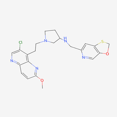 COc1ccc2ncc(Cl)c(CCN3CCC(NCc4cc5c(cn4)OCS5)C3)c2n1